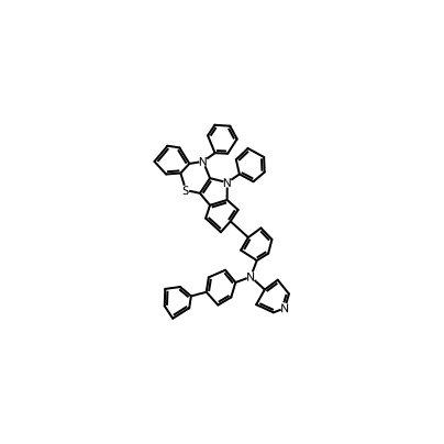 c1ccc(-c2ccc(N(c3ccncc3)c3cccc(-c4ccc5c6c(n(-c7ccccc7)c5c4)N(c4ccccc4)c4ccccc4S6)c3)cc2)cc1